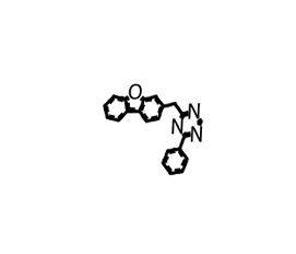 c1ccc(-c2ncnc(Cc3ccc4c(c3)oc3ccccc34)n2)cc1